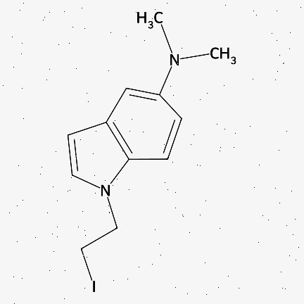 CN(C)c1ccc2c(ccn2CCI)c1